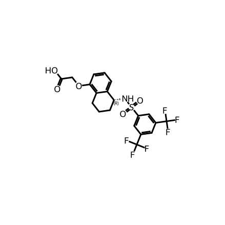 O=C(O)COc1cccc2c1CCC[C@H]2NS(=O)(=O)c1cc(C(F)(F)F)cc(C(F)(F)F)c1